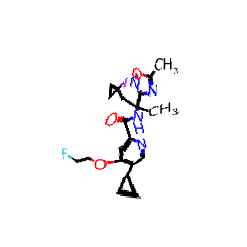 Cc1nc(C(C)(CC2(I)CC2)NC(=O)c2cc(OCCF)c(C3CC3)cn2)no1